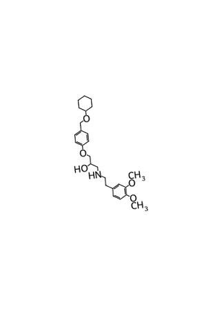 COc1ccc(CCNCC(O)COc2ccc(COC3CCCCC3)cc2)cc1OC